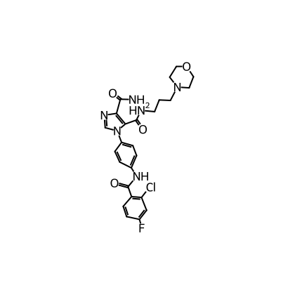 NC(=O)c1ncn(-c2ccc(NC(=O)c3ccc(F)cc3Cl)cc2)c1C(=O)NCCCN1CCOCC1